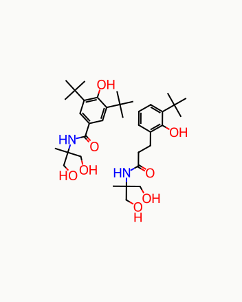 CC(CO)(CO)NC(=O)CCc1cccc(C(C)(C)C)c1O.CC(CO)(CO)NC(=O)c1cc(C(C)(C)C)c(O)c(C(C)(C)C)c1